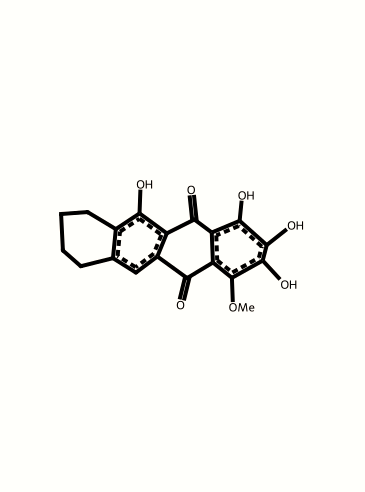 COc1c(O)c(O)c(O)c2c1C(=O)c1cc3c(c(O)c1C2=O)CCCC3